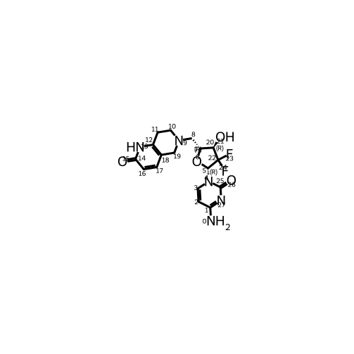 Nc1ccn([C@@H]2O[C@H](CN3CCc4[nH]c(=O)ccc4C3)[C@@H](O)C2(F)F)c(=O)n1